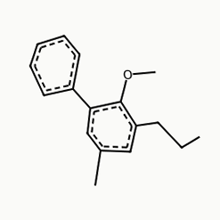 CCCc1cc(C)cc(-c2ccccc2)c1OC